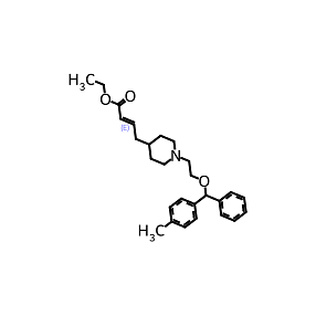 CCOC(=O)/C=C/CC1CCN(CCOC(c2ccccc2)c2ccc(C)cc2)CC1